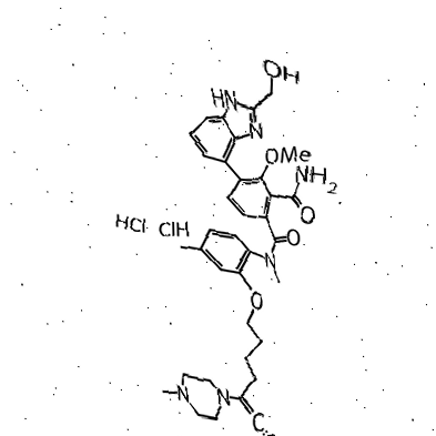 COc1c(-c2cccc3[nH]c(CO)nc23)ccc(C(=O)N(C)c2ccc(C)cc2OCCCCC(=C=O)N2CCN(C)CC2)c1C(N)=O.Cl.Cl